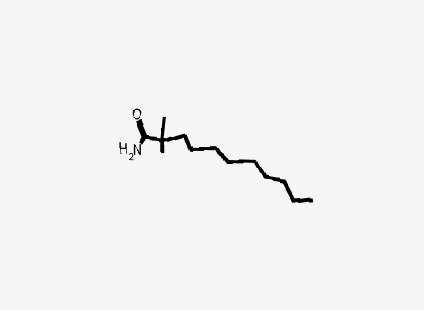 CCCCCCCCCC(C)(C)C(N)=O